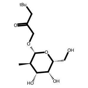 C[C@H]1[C@H](OCC(=O)CC(C)(C)C)O[C@H](CO)[C@H](O)[C@@H]1O